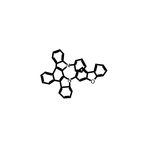 c1ccc(-n2c3ccccc3c3c4ccccc4c4c5ccccc5n(-c5ccc6c(c5)oc5ccccc56)c4c32)cc1